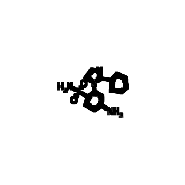 Nc1ccc(S(N)(=O)=O)c(-n2ccnc2-c2ccccc2)c1